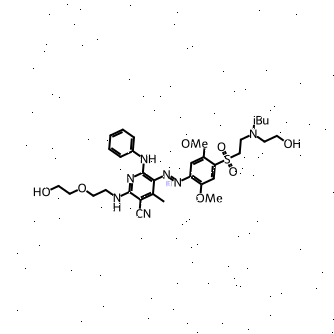 CCC(C)N(CCO)CCS(=O)(=O)c1cc(OC)c(/N=N/c2c(Nc3ccccc3)nc(NCCOCCO)c(C#N)c2C)cc1OC